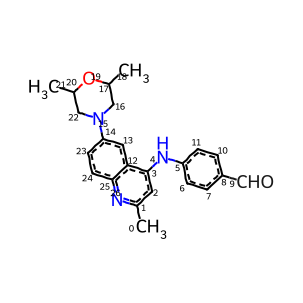 Cc1cc(Nc2ccc(C=O)cc2)c2cc(N3CC(C)OC(C)C3)ccc2n1